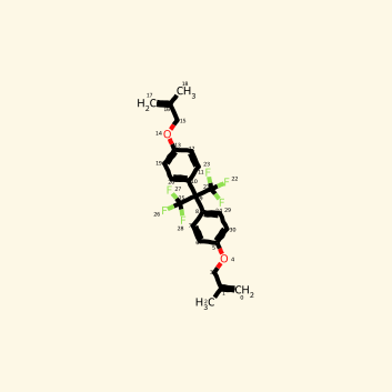 C=C(C)COc1ccc(C(c2ccc(OCC(=C)C)cc2)(C(F)(F)F)C(F)(F)F)cc1